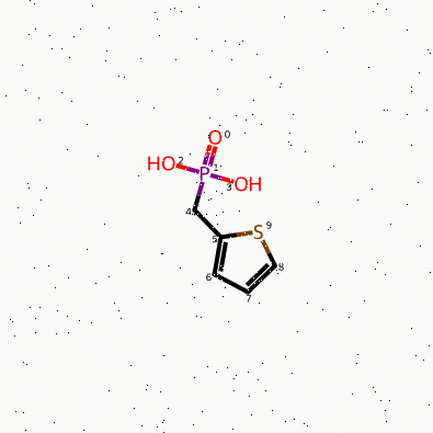 O=P(O)(O)[CH]c1cccs1